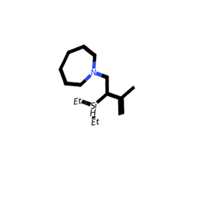 C=C(C)C(CN1CCCCCC1)[SiH](CC)CC